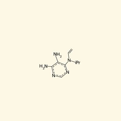 C=CN(c1ncnc(N)c1N)C(C)C